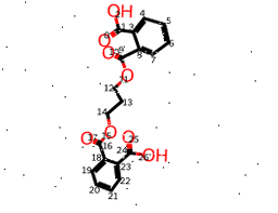 O=C(O)c1ccccc1C(=O)OCCCOC(=O)c1ccccc1C(=O)O